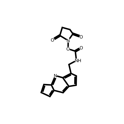 O=C(NCC1=c2nc3c(cc2C=C1)=CC=C3)ON1C(=O)CCC1=O